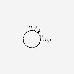 O=C(O)C1CCCCCCCCCCC(C(=O)O)C(=O)N1